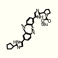 CN1Cc2cc(-c3cnc(C4CCCN4C(=O)OC(C)(C)C)[nH]3)ccc2N(C)Cc2cc(-c3cnc(C4CCCC4)[nH]3)ccc21